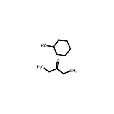 CCC(=O)CC.OC1CCCCC1